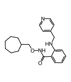 O=C(NOCC1CCCCCC1)c1ccccc1NCc1ccncc1